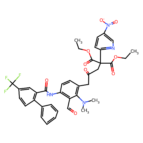 CCOC(=O)C(CC(=O)Cc1ccc(NC(=O)c2cc(C(F)(F)F)ccc2-c2ccccc2)c(C=O)c1N(C)C)(C(=O)OCC)c1ccc([N+](=O)[O-])cn1